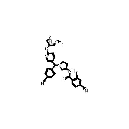 CCC(CC)Oc1ccc(C(c2ccc(C#N)cc2)N2CCC(NC(=O)c3ccc(C#N)cc3F)C2)cn1